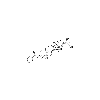 CO[C@@H]([C@H]1C[C@@H](C)[C@H]2[C@H](O1)[C@H](O)[C@@]1(C)[C@@H]3CC[C@H]4C(C)(C)[C@@H](OC(=O)N5CCOCC5)CC[C@@]45C[C@@]35CC[C@]21C)C(C)(C)O